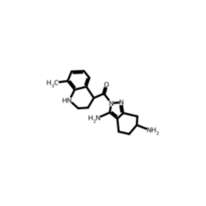 Cc1cccc2c1NCCC2C(=O)n1nc2c(c1N)CCC(N)C2